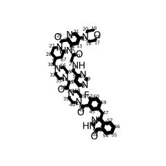 O=C(CNCc1ccncn1)Nc1cc(N2CCOCC2)cnc1C(=O)N1CCC(CN2CCN(CC(=O)N3CCN(C(=O)c4cc(Cc5n[nH]c(=O)c6ccccc56)ccc4F)CC3)CC2)CC1